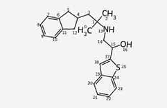 CC(C)(CC1Cc2ccccc2C1)NCC(O)c1cc2ccccc2s1